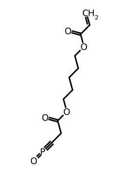 C=CC(=O)OCCCCCOC(=O)CC#P=O